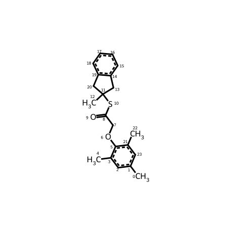 Cc1cc(C)c(OCC(=O)SC2(C)Cc3ccccc3C2)c(C)c1